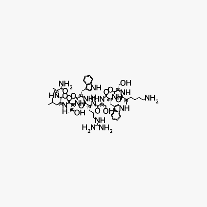 CC(C)C[C@H](NC(=O)[C@H](NC(=O)[C@H](Cc1c[nH]c2ccccc12)NC(=O)[C@@H](CCCNC(N)N)NC(=O)[C@H](CO)NC(=O)[C@@H](Cc1c[nH]c2ccccc12)NC(=O)[C@H](CO)NC(=O)[C@H](C)CCCCN)[C@@H](C)O)C(=O)N[C@@H](C)C(N)=O